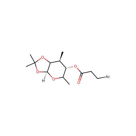 CC(=O)CCC(=O)O[C@@H]1C(C)O[C@H]2OC(C)(C)OC2[C@H]1C